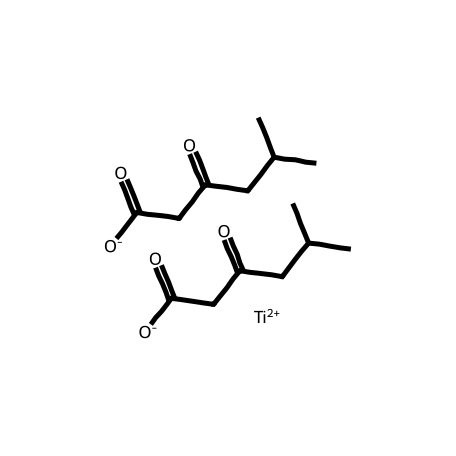 CC(C)CC(=O)CC(=O)[O-].CC(C)CC(=O)CC(=O)[O-].[Ti+2]